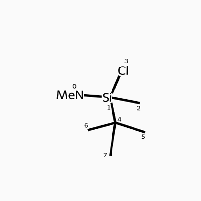 CN[Si](C)(Cl)C(C)(C)C